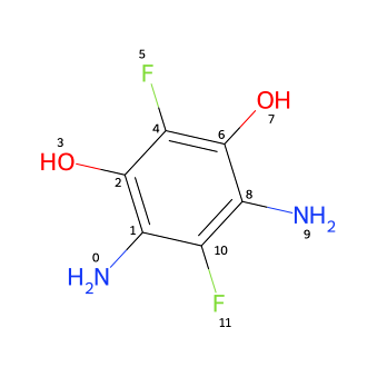 Nc1c(O)c(F)c(O)c(N)c1F